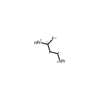 [CH2]CCC(F)CCCCC